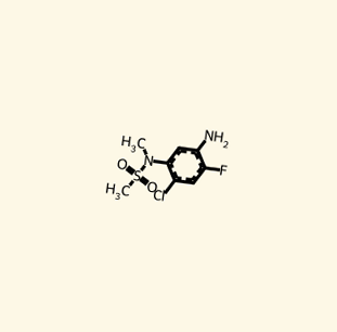 CN(c1cc(N)c(F)cc1Cl)S(C)(=O)=O